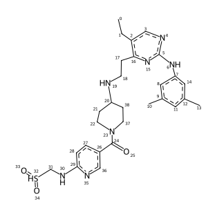 CCc1cnc(Nc2cc(C)cc(C)c2)nc1CCNC1CCN(C(=O)c2ccc(NC[SH](=O)=O)nc2)CC1